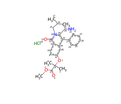 COC(=O)C(C)(C)Oc1ccc2c(=O)n(CC(C)C)c(CN)c(-c3ccccc3)c2c1.Cl